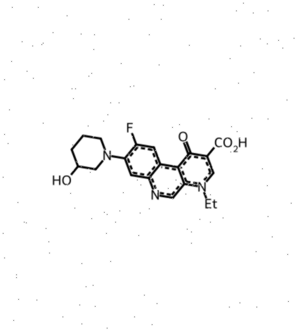 CCn1cc(C(=O)O)c(=O)c2c3cc(F)c(N4CCCC(O)C4)cc3ncc21